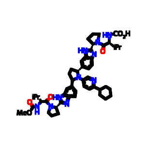 COC(=O)N[C@H](C(=O)N1CCC[C@H]1c1nc2ccc(C3CC[C@H](c4ccc5nc([C@@H]6CCCN6C(=O)[C@@H](NC(=O)O)C(C)C)[nH]c5c4)N3c3ccc(C4CCCCC4)nc3)cc2[nH]1)C(C)C